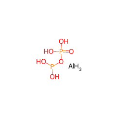 O=P(O)(O)OP(O)O.[AlH3]